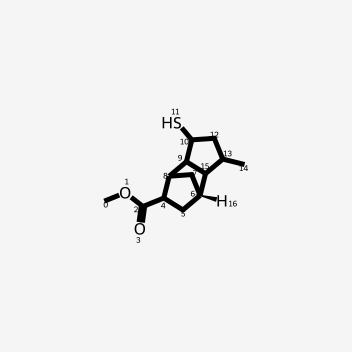 COC(=O)C1C[C@@H]2CC1C1C(S)CC(C)C12